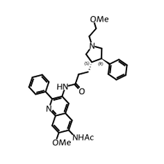 COCCN1C[C@@H](CCC(=O)Nc2cc3cc(NC(C)=O)c(OC)cc3nc2-c2ccccc2)[C@H](c2ccccc2)C1